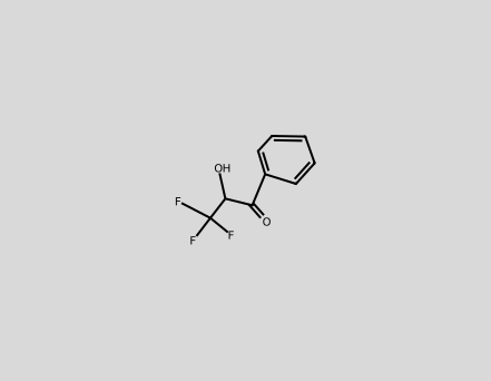 O=C(c1ccccc1)C(O)C(F)(F)F